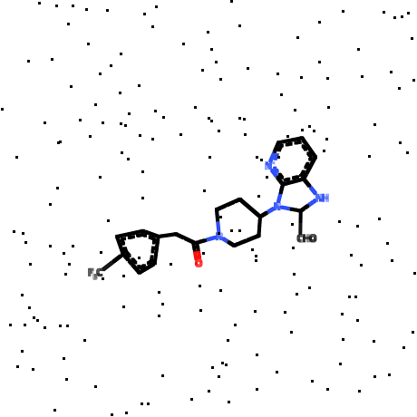 O=CC1Nc2cccnc2N1C1CCN(C(=O)Cc2ccc(C(F)(F)F)cc2)CC1